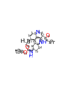 Bc1ccc2ncc(C(=O)CC(C)C)c(N[C@H]3CC[C@H](NC(=O)OC(C)(C)C)CC3)c2c1